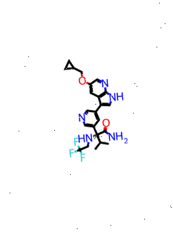 CC(C)[C@](NCC(F)(F)F)(C(N)=O)c1cncc(-c2c[nH]c3ncc(OCC4CC4)cc23)c1